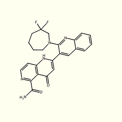 NC(=O)c1nccc2[nH]c(-c3cc4ccccc4nc3N3CCCCC(F)(F)C3)cc(=O)c12